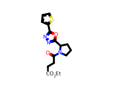 CCOC(=O)CCC(=O)N1CCCC1c1nnc(-c2cccs2)o1